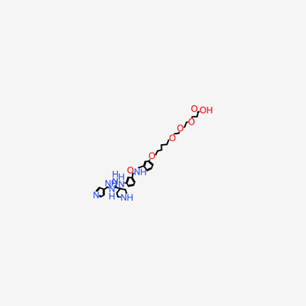 N=C(NC(=N)C1(Nc2cccc(C(=O)NCc3cccc(OCCCCCCOCCOCCOCCC(=O)O)c3)c2)CCNCC1)c1ccncc1